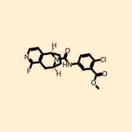 COC(=O)c1cc(NC(=O)N2[C@H]3CC[C@@H]2c2ccnc(F)c2C3)ccc1Cl